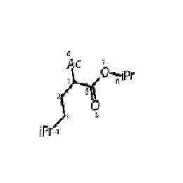 CC(=O)C(CCC(C)C)C(=O)OC(C)C